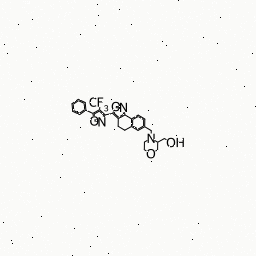 OCC1COCCN1Cc1ccc2c(c1)CCc1c-2noc1-c1noc(-c2ccccc2)c1C(F)(F)F